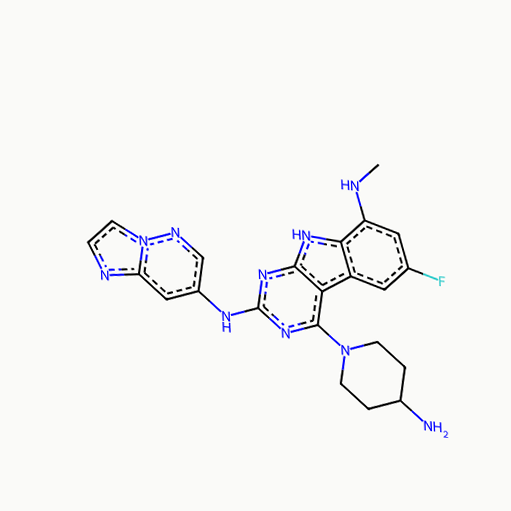 CNc1cc(F)cc2c1[nH]c1nc(Nc3cnn4ccnc4c3)nc(N3CCC(N)CC3)c12